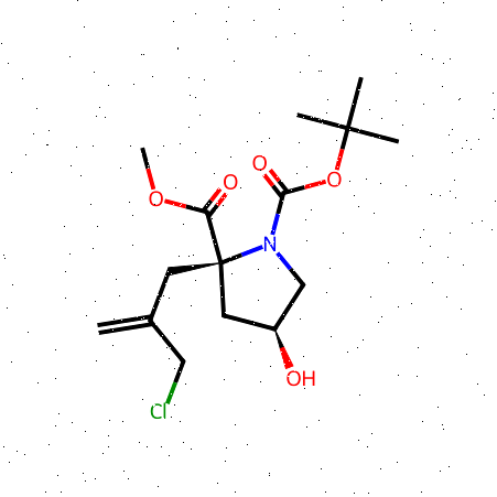 C=C(CCl)C[C@]1(C(=O)OC)C[C@H](O)CN1C(=O)OC(C)(C)C